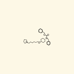 O=C(OCc1ccccc1)N(Cc1ccccc1)[C@H]1CC[C@H](OCCCCCCN2CCCC2)CC1